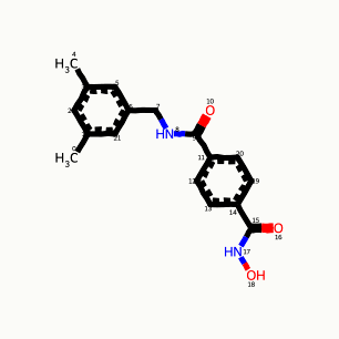 Cc1cc(C)cc(CNC(=O)c2ccc(C(=O)NO)cc2)c1